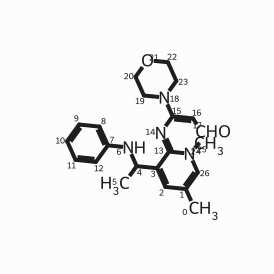 Cc1cc(C(C)Nc2ccccc2)/c(=N/C(=C\C=O)N2CCOCC2)n(C)c1